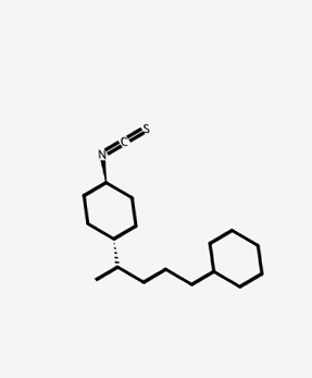 CC(CCCC1CCCCC1)[C@H]1CC[C@H](N=C=S)CC1